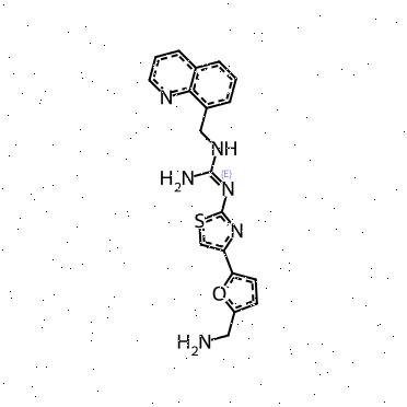 NCc1ccc(-c2csc(/N=C(\N)NCc3cccc4cccnc34)n2)o1